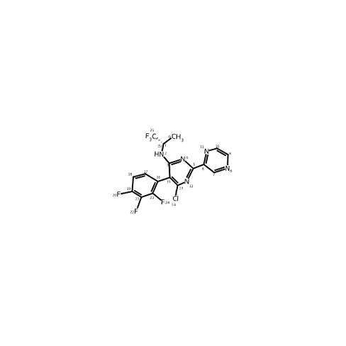 C[C@H](Nc1nc(-c2cnccn2)nc(Cl)c1-c1ccc(F)c(F)c1F)C(F)(F)F